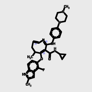 Cc1cc2c(F)c(O/C3=C(C(=O)NC4CC4)/C(Nc4ccc(N5CCN(C)CC5)cc4)=N\C=C\CC3C)ccc2[nH]1